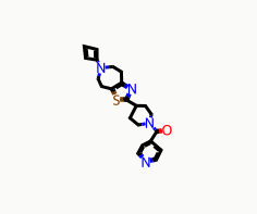 O=C(c1ccncc1)N1CCC(c2nc3c(s2)CCN(C2=CC=C2)CC3)CC1